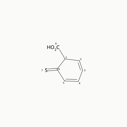 O=C(O)C1C=CC=CC1=S